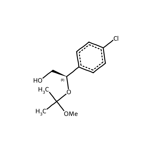 COC(C)(C)O[C@@H](CO)c1ccc(Cl)cc1